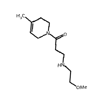 COCCNCCC(=O)N1CC=C(C)CC1